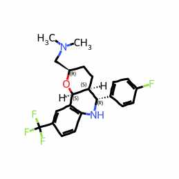 CN(C)C[C@H]1CC[C@@H]2[C@H](O1)c1cc(C(F)(F)F)ccc1N[C@H]2c1ccc(F)cc1